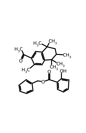 CC(=O)c1cc2c(cc1C)C(C)(C)C(C)CC2(C)C.O=C(OCc1ccccc1)c1ccccc1O